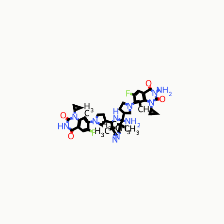 Cc1c(N2CCC(C(NC(N)(C3CCN(c4c(F)cc5c(=O)n(N)c(=O)n(C6CC6)c5c4C)C3)C(C)(C)C#N)C(C)(C)C#N)C2)c(F)cc2c(=O)[nH]c(=O)n(C3CC3)c12